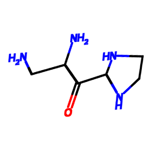 NCC(N)C(=O)C1NCCN1